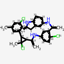 C=C1Cc2cc(NC(=C)c3cc(NC(=C)C4C(c5cc(C)cc(Cl)c5)C4(C)Cl)ccc3Cl)ccc2N1